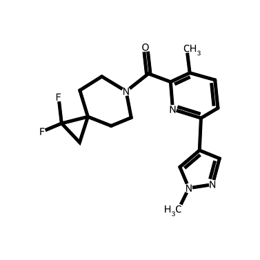 Cc1ccc(-c2cnn(C)c2)nc1C(=O)N1CCC2(CC1)CC2(F)F